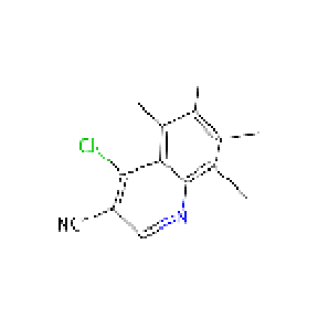 Cc1c(C)c(C)c2c(Cl)c(C#N)cnc2c1C